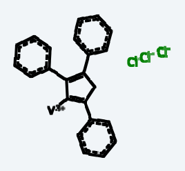 [Cl-].[Cl-].[Cl-].[V+3][C]1=C(c2ccccc2)CC(c2ccccc2)=C1c1ccccc1